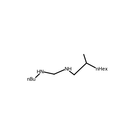 CCCCCCC(C)CNCNCCCC